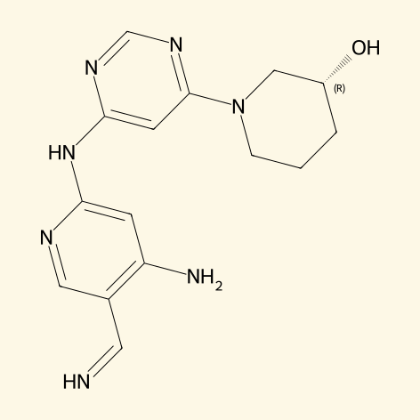 N=Cc1cnc(Nc2cc(N3CCC[C@@H](O)C3)ncn2)cc1N